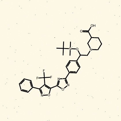 CC(C)(C)[Si](C)(C)OC(CN1CCCC(C(=O)O)C1)c1ccc(-c2noc(-c3onc(-c4ccccc4)c3C(F)(F)F)n2)cc1